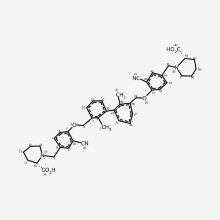 Cc1c(COc2ccc(CN3CCCC[C@H]3C(=O)O)cc2C#N)cccc1-c1cccc(COc2ccc(CN3CCCC[C@H]3C(=O)O)cc2C#N)c1C